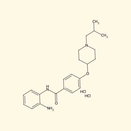 CC(C)CN1CCC(Oc2ccc(C(=O)Nc3ccccc3N)cc2)CC1.Cl.Cl